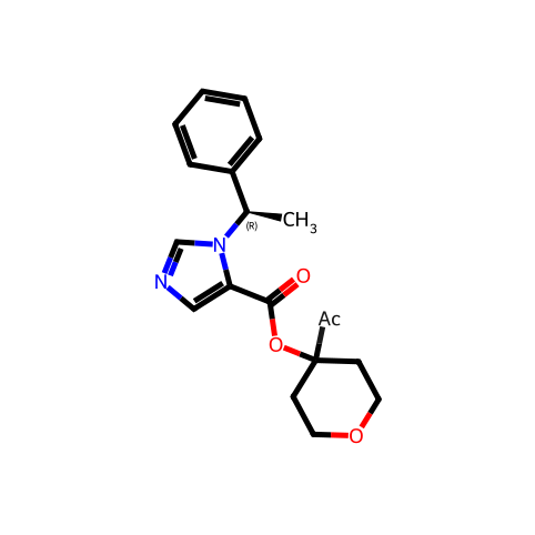 CC(=O)C1(OC(=O)c2cncn2[C@H](C)c2ccccc2)CCOCC1